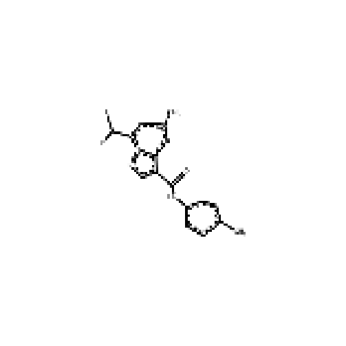 Cc1ccc(NC(=O)c2cnn3c(C(F)F)cc(C)nc23)cc1